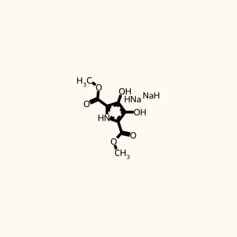 COC(=O)c1[nH]c(C(=O)OC)c(O)c1O.[NaH].[NaH]